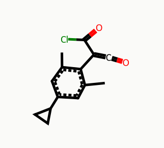 Cc1cc(C2CC2)cc(C)c1C(=C=O)C(=O)Cl